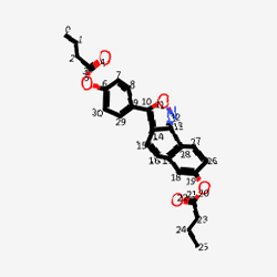 CCCC(=O)Oc1ccc(-c2onc3c2ccc2cc(OC(=O)CCC)ccc23)cc1